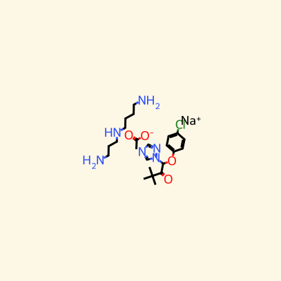 CC(=O)[O-].CC(C)(C)C(=O)C(Oc1ccc(Cl)cc1)n1cncn1.NCCCCNCCCN.[Na+]